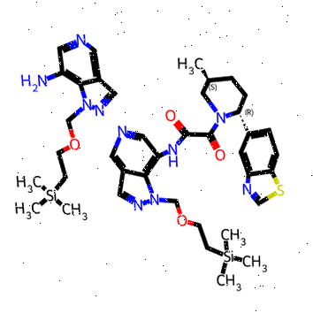 C[C@H]1CC[C@H](c2ccc3scnc3c2)N(C(=O)C(=O)Nc2cncc3cnn(COCC[Si](C)(C)C)c23)C1.C[Si](C)(C)CCOCn1ncc2cncc(N)c21